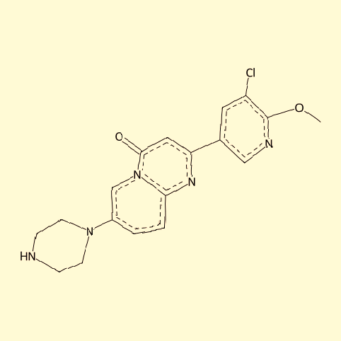 COc1ncc(-c2cc(=O)n3cc(N4CCNCC4)ccc3n2)cc1Cl